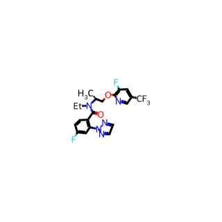 CCN(C(=O)c1ccc(F)cc1-n1nccn1)[C@@H](C)COc1ncc(C(F)(F)F)cc1F